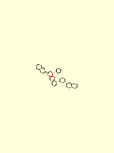 c1ccc(N(c2ccc(-c3ccc4ccccc4c3)cc2)c2cccc3ccccc23)c(-c2ccc3oc4cc5ccccc5cc4c3c2)c1